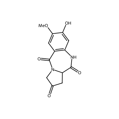 COc1cc2c(cc1O)NC(=O)C1CC(=O)CN1C2=O